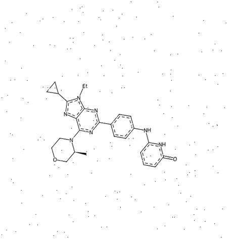 CCn1c(C2CC2)nc2c(N3CCOC[C@@H]3C)nc(-c3ccc(Nc4cccc(=O)[nH]4)cc3)nc21